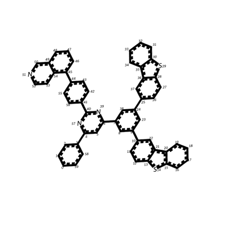 c1ccc(-c2cc(-c3cc(-c4ccc5sc6ccccc6c5c4)cc(-c4ccc5sc6ccccc6c5c4)c3)nc(-c3ccc(-c4cccc5cnccc45)cc3)n2)cc1